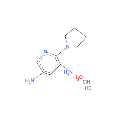 Cl.Cl.Nc1cnc(N2CCCC2)c(N)c1.O